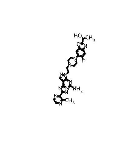 Cc1nccnc1-c1nc2c3cnn(CCN4CCN(c5cc6oc(C(C)O)nc6cc5F)CC4)c3nc(N)n2n1